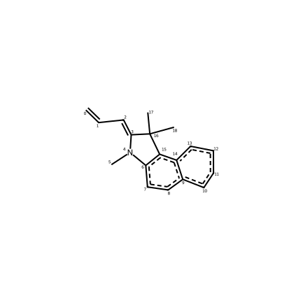 C=CC=C1N(C)c2ccc3ccccc3c2C1(C)C